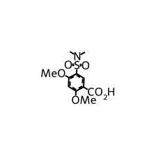 COc1cc(OC)c(S(=O)(=O)N(C)C)cc1C(=O)O